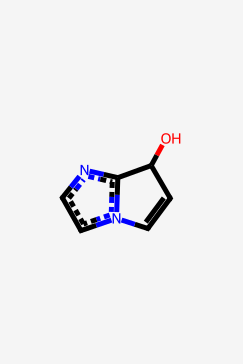 OC1C=Cn2ccnc21